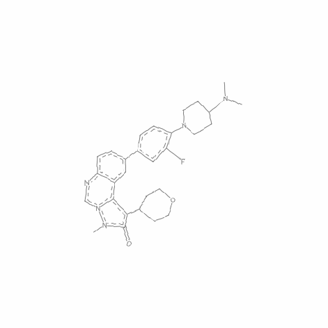 CN(C)C1CCN(c2ccc(-c3ccc4ncn5c(c(C6CCOCC6)c(=O)n5C)c4c3)cc2F)CC1